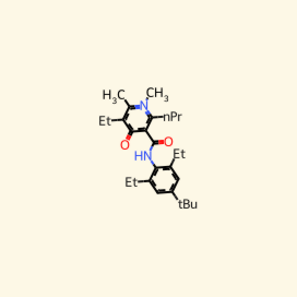 CCCc1c(C(=O)Nc2c(CC)cc(C(C)(C)C)cc2CC)c(=O)c(CC)c(C)n1C